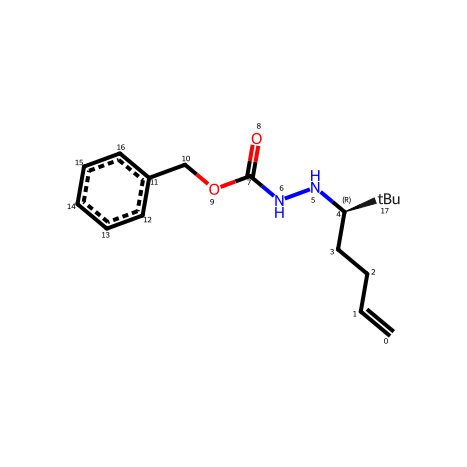 C=CCC[C@@H](NNC(=O)OCc1ccccc1)C(C)(C)C